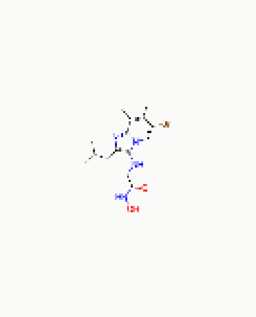 Cc1c(Br)cn2c(NCC(=O)NO)c(CC(C)C)nc2c1C